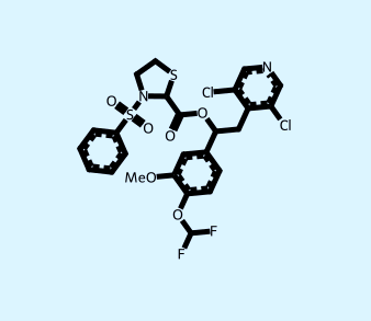 COc1cc(C(Cc2c(Cl)cncc2Cl)OC(=O)C2SCCN2S(=O)(=O)c2ccccc2)ccc1OC(F)F